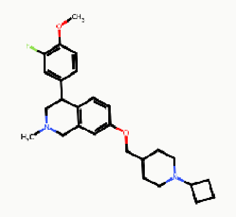 COc1ccc(C2CN(C)Cc3cc(OCC4CCN(C5CCC5)CC4)ccc32)cc1F